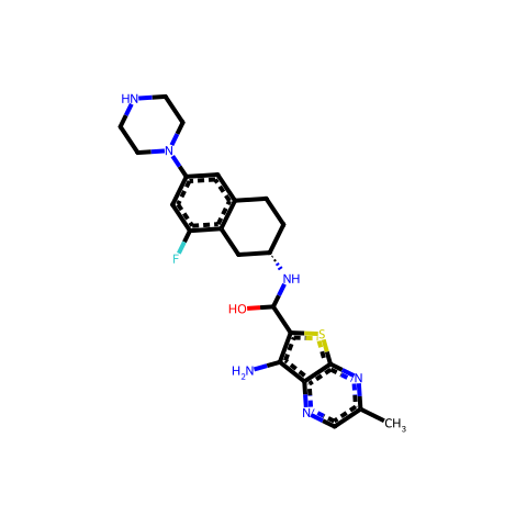 Cc1cnc2c(N)c(C(O)N[C@H]3CCc4cc(N5CCNCC5)cc(F)c4C3)sc2n1